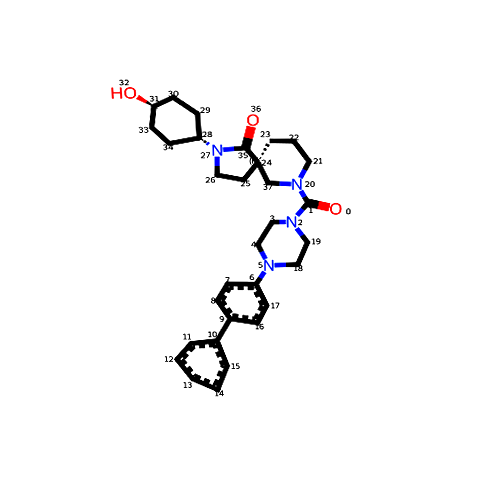 O=C(N1CCN(c2ccc(-c3ccccc3)cc2)CC1)N1CCC[C@@]2(CCN([C@H]3CC[C@H](O)CC3)C2=O)C1